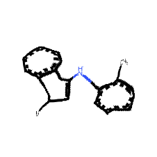 [Li][CH]1C=C(Nc2ccccc2C)c2ccccc21